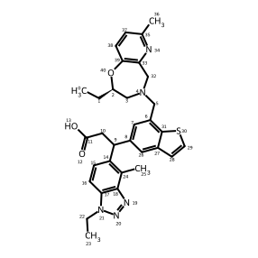 CC[C@@H]1CN(Cc2cc(C(CC(=O)O)c3ccc4c(nnn4CC)c3C)cc3ccsc23)Cc2nc(C)ccc2O1